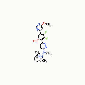 COc1cc(-c2cc(O)c(-c3ccc(N(C)C4C[C@]5(C)CCC[C@](C)(C4)N5)nn3)c(F)c2F)ncn1